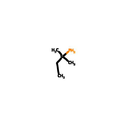 CC[Si](C)(C)P